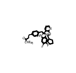 COC(=O)CCc1ccc(CC2(c3cccnc3OCC3CCCC3)Nc3cc(F)c(F)cc3N2)cc1